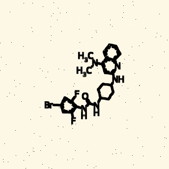 CN(C)c1cc(NC2CCC(NC(=O)Nc3c(F)cc(Br)cc3F)CC2)nc2ccccc12